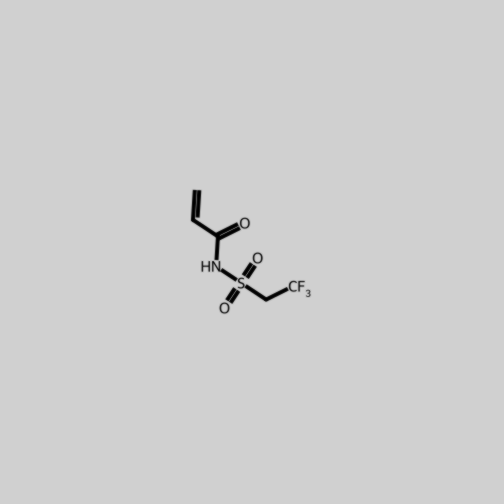 C=CC(=O)NS(=O)(=O)CC(F)(F)F